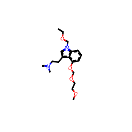 CCOCn1cc(CCN(C)C)c2c(OCOCCOC)cccc21